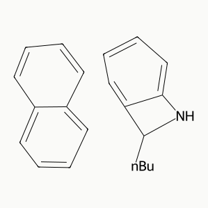 CCCCC1Nc2ccccc21.c1ccc2ccccc2c1